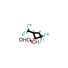 FC(F)C1CC(F)(F)C1.O=CO